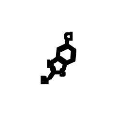 Clc1ccc2sc(Br)nc2c1